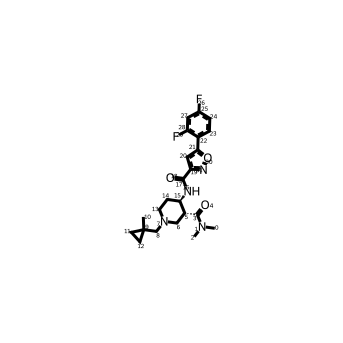 CN(C)C(=O)[C@@H]1CN(CC2(C)CC2)CC[C@H]1NC(=O)c1cc(-c2ccc(F)cc2F)on1